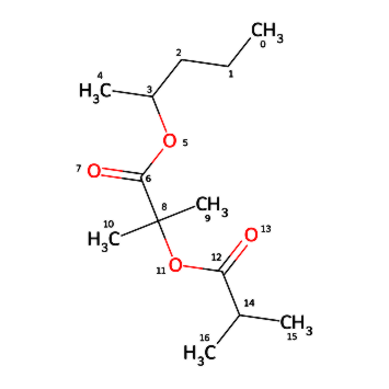 CCCC(C)OC(=O)C(C)(C)OC(=O)C(C)C